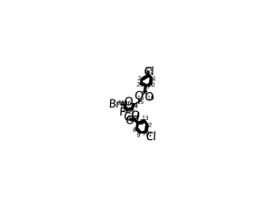 C[C@@]1(F)[C@H](OC(=O)c2ccc(Cl)cc2)[C@H](COC(=O)c2ccc(Cl)cc2)O[C@@H]1Br